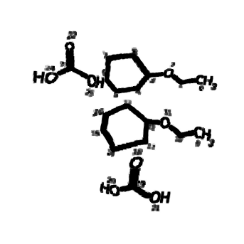 CCOC1CCCCC1.CCOC1CCCCC1.O=C(O)O.O=C(O)O